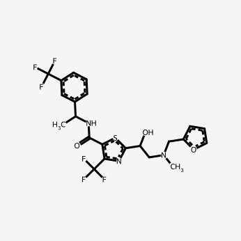 CC(NC(=O)c1sc(C(O)CN(C)Cc2ccco2)nc1C(F)(F)F)c1cccc(C(F)(F)F)c1